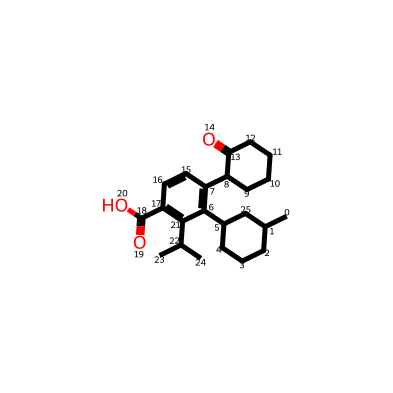 CC1CCCC(c2c(C3CCCCC3=O)ccc(C(=O)O)c2C(C)C)C1